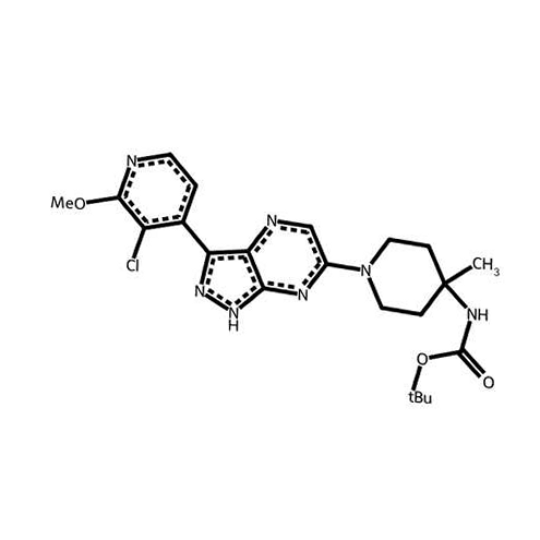 COc1nccc(-c2n[nH]c3nc(N4CCC(C)(NC(=O)OC(C)(C)C)CC4)cnc23)c1Cl